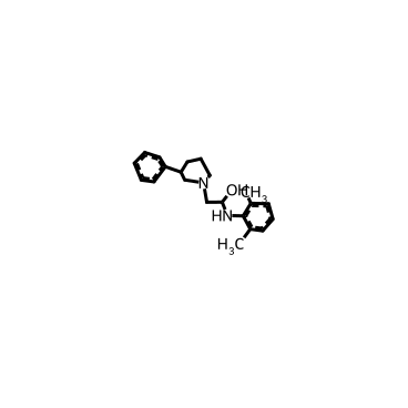 Cc1cccc(C)c1NC(O)CN1CCCC(c2ccccc2)C1